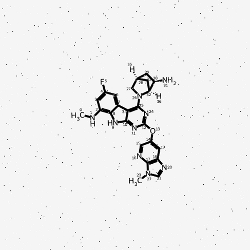 CNc1cc(F)cc2c1[nH]c1nc(Oc3cnc4c(c3)ncn4C)nc(N3C[C@H]4C[C@@H](N)[C@@H]3C4)c12